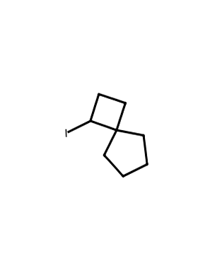 IC1CCC12CCCC2